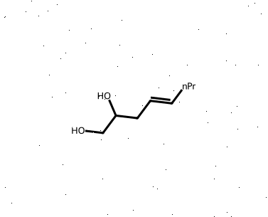 CCCC=CCC(O)CO